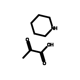 C1CCNCC1.CC(=O)C(=O)O